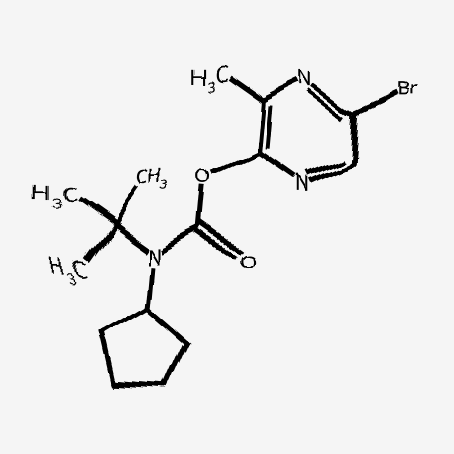 Cc1nc(Br)cnc1OC(=O)N(C1CCCC1)C(C)(C)C